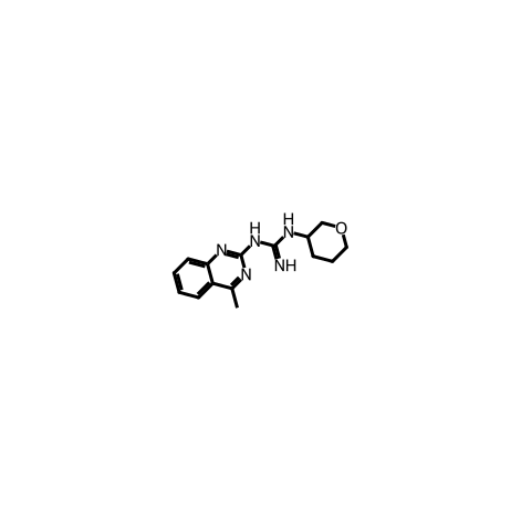 Cc1nc(NC(=N)NC2CCCOC2)nc2ccccc12